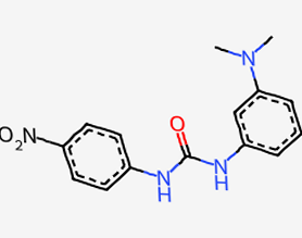 CN(C)c1cccc(NC(=O)Nc2ccc([N+](=O)[O-])cc2)c1